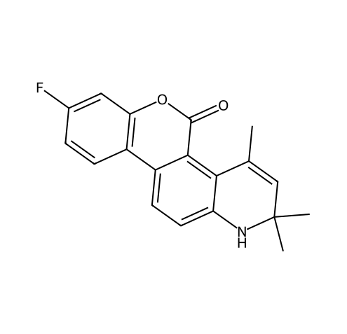 CC1=CC(C)(C)Nc2ccc3c(c21)c(=O)oc1cc(F)ccc13